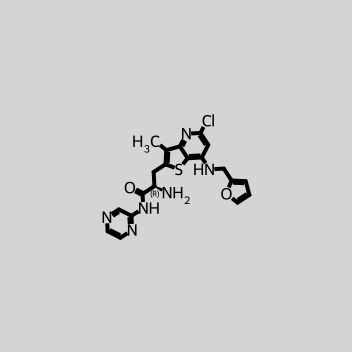 Cc1c(C[C@@H](N)C(=O)Nc2cnccn2)sc2c(NCc3ccco3)cc(Cl)nc12